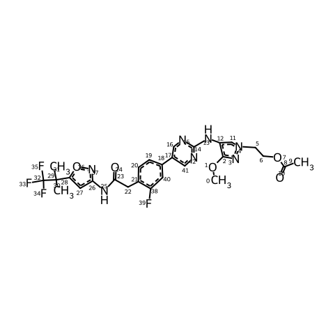 COc1nn(CCOC(C)=O)cc1Nc1ncc(-c2ccc(CC(=O)Nc3cc(C(C)(C)C(F)(F)F)on3)c(F)c2)cn1